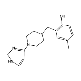 Oc1ccc(I)cc1CN1CCN(C2=NCNC=C2)CC1